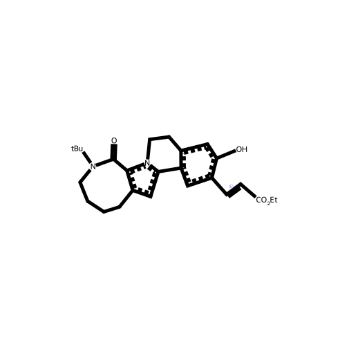 CCOC(=O)/C=C/c1cc2c(cc1O)CCn1c-2cc2c1C(=O)N(C(C)(C)C)CCCC2